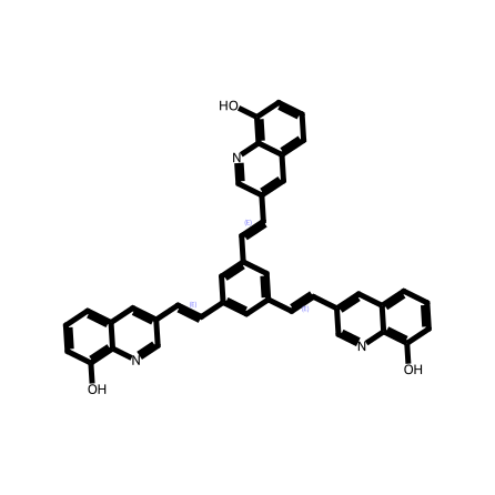 Oc1cccc2cc(/C=C/c3cc(/C=C/c4cnc5c(O)cccc5c4)cc(/C=C/c4cnc5c(O)cccc5c4)c3)cnc12